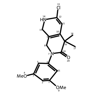 COc1cc(OC)cc(N2CC3=C(C=C(Cl)NC3)C(C)(C)C2=O)c1